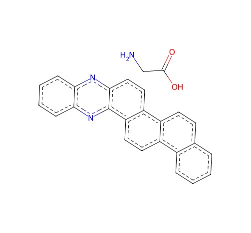 NCC(=O)O.c1ccc2c(c1)ccc1c2ccc2c1ccc1nc3ccccc3nc12